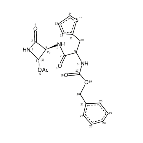 CC(=O)O[C@@H]1NC(=O)[C@H]1NC(=O)C(Cc1cccs1)NC(=O)OCc1ccccc1